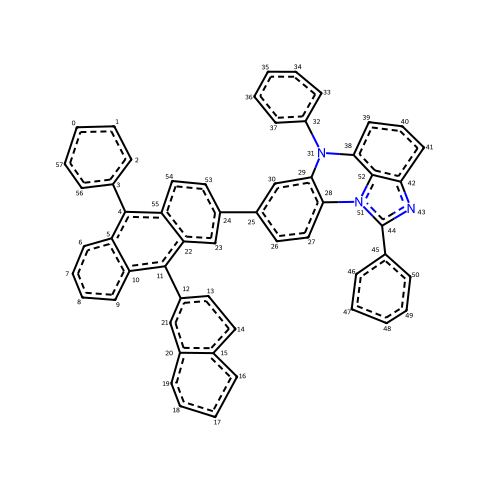 c1ccc(-c2c3ccccc3c(-c3ccc4ccccc4c3)c3cc(-c4ccc5c(c4)N(c4ccccc4)c4cccc6nc(-c7ccccc7)n-5c46)ccc23)cc1